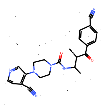 CC(NC(=O)N1CCN(c2cnccc2C#N)CC1)C(C)C(=O)c1ccc(C#N)cc1